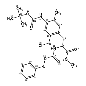 COC(=O)[C@@H](Cc1cc(C)c(NC(=O)OC(C)(C)C)cc1CCl)NC(=O)OCc1ccccc1